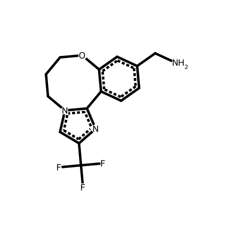 NCc1ccc2c(c1)OCCCn1cc(C(F)(F)F)nc1-2